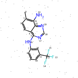 Cc1ccc2c(Nc3cccc(C(F)(F)F)c3)ncnc2c1N